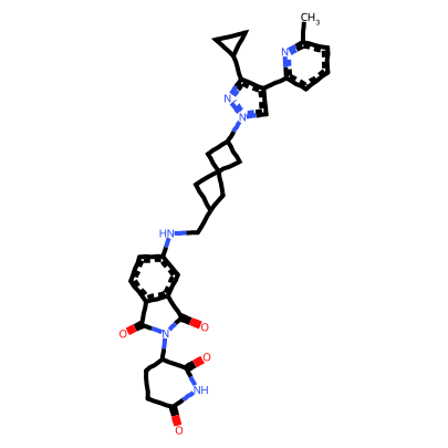 Cc1cccc(-c2cn(C3CC4(CC(CNc5ccc6c(c5)C(=O)N(C5CCC(=O)NC5=O)C6=O)C4)C3)nc2C2CC2)n1